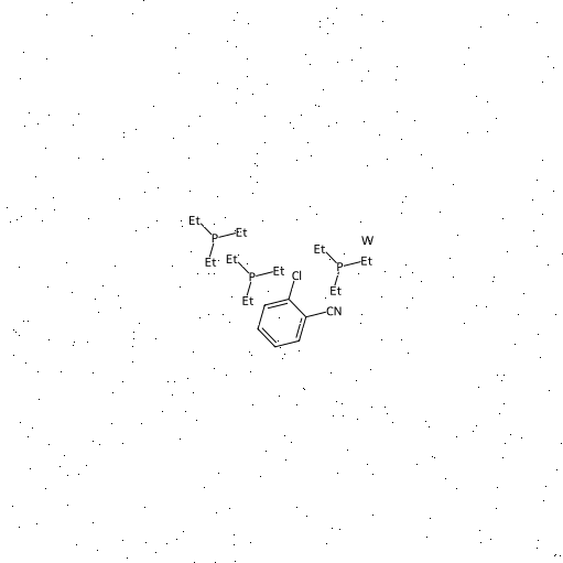 CCP(CC)CC.CCP(CC)CC.CCP(CC)CC.N#Cc1ccccc1Cl.[W]